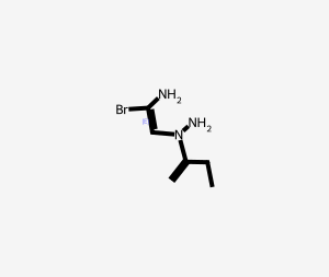 C=C(CC)N(N)/C=C(\N)Br